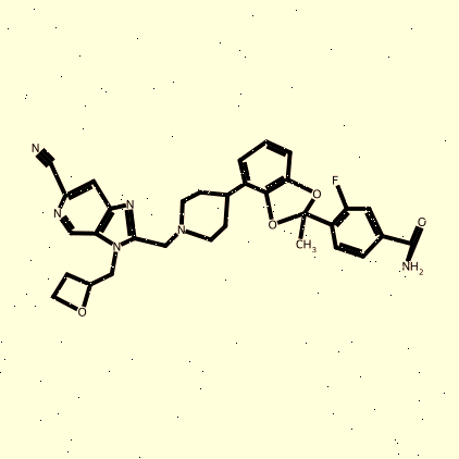 CC1(c2ccc(C(N)=O)cc2F)Oc2cccc(C3CCN(Cc4nc5cc(C#N)ncc5n4CC4CCO4)CC3)c2O1